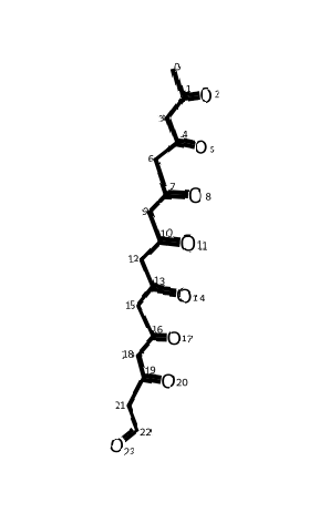 CC(=O)CC(=O)CC(=O)CC(=O)CC(=O)CC(=O)CC(=O)CC=O